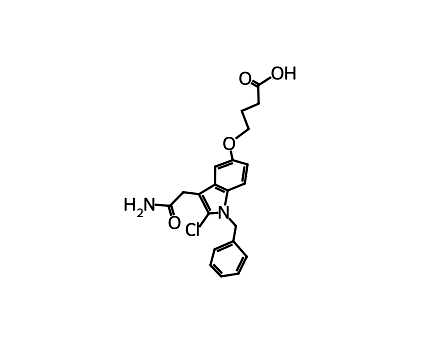 NC(=O)Cc1c(Cl)n(Cc2ccccc2)c2ccc(OCCCC(=O)O)cc12